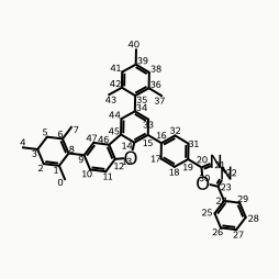 CC1=CC(C)CC(C)=C1c1ccc2oc3c(-c4ccc(-c5nnc(-c6ccccc6)o5)cc4)cc(-c4c(C)cc(C)cc4C)cc3c2c1